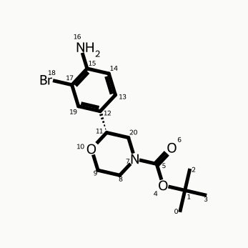 CC(C)(C)OC(=O)N1CCO[C@H](c2ccc(N)c(Br)c2)C1